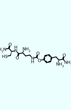 NC(=O)[C@H](CS)NC(=O)[C@@H](N)CCNC(=O)Oc1ccc(C[C@H](N)C(N)=O)cc1